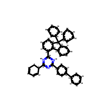 C1=CCC(c2nc(-c3ccc(-c4ccccc4)cc3)nc(-c3cccc4c3-c3ccccc3C4(c3ccccc3)c3ccccc3)n2)C=C1